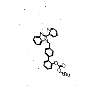 CC(C)(C)OC(=O)Oc1ccccc1-c1ccc(Cn2c(-c3ccccn3)nc3ccccc32)cc1